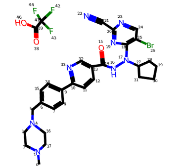 CN1CCN(Cc2ccc(-c3ccc(C(=O)NN(c4nc(C#N)ncc4Br)C4CCCC4)cn3)cc2)CC1.O=C(O)C(F)(F)F